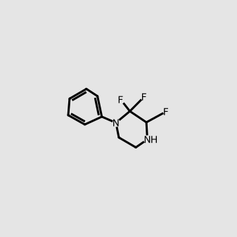 FC1NCCN(c2ccccc2)C1(F)F